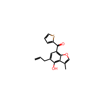 C=CCc1cc(C(=O)c2cccs2)c2occ(C)c2c1O